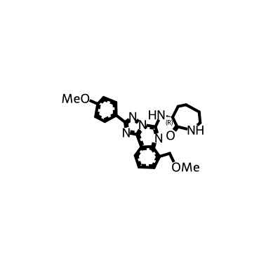 COCc1cccc2c1nc(N[C@@H]1CCCCNC1=O)n1nc(-c3ccc(OC)cc3)nc21